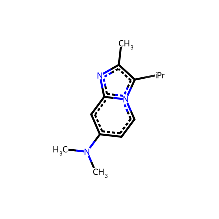 Cc1nc2cc(N(C)C)ccn2c1C(C)C